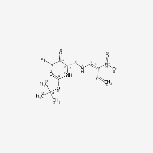 C=C/C(=C\NC[C@H](NC(=O)OC(C)(C)C)C(=O)CI)[N+](=O)[O-]